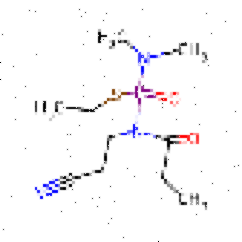 CCSP(=O)(N(C)C)N(CCC#N)C(=O)CC